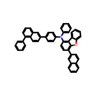 c1ccc(-c2cccc3cc(-c4ccc(N(c5ccccc5)c5ccc(-c6ccc7ccccc7c6)c6oc7ccccc7c56)cc4)ccc23)cc1